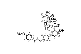 COc1ccc(CCCc2ccc(-c3ccc(O)c4c3C[C@@H]3C[C@@H]5CC(C)=C(C(C)=O)C(=O)[C@]5(O)C(O)=C3C4=O)cc2)cc1